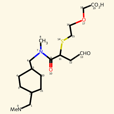 CNCC1CCC(CN(C)C(=O)C(CC=O)SCCOCC(=O)O)CC1